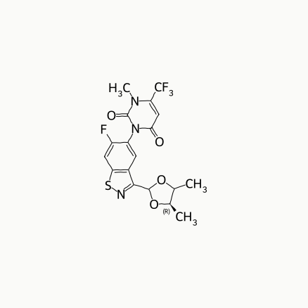 CC1OC(c2nsc3cc(F)c(-n4c(=O)cc(C(F)(F)F)n(C)c4=O)cc23)O[C@@H]1C